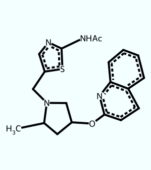 CC(=O)Nc1ncc(CN2CC(Oc3ccc4ccccc4n3)CC2C)s1